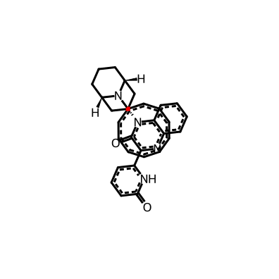 O=c1cccc(-c2nc3ccccc3n([C@H]3C[C@H]4CCC[C@@H](C3)N4c3ccccccccc3)c2=O)[nH]1